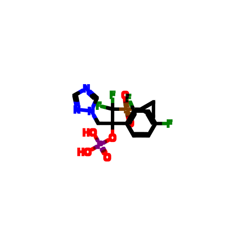 O=P(O)(O)OC(Cn1cncn1)(c1ccc(F)cc1F)C(F)(F)S(=O)(=O)C1CC1